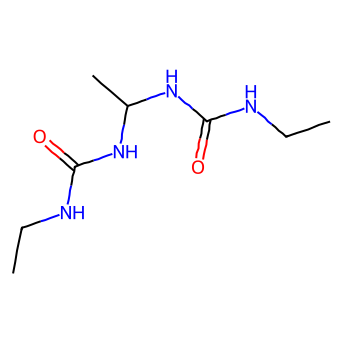 CCNC(=O)NC(C)NC(=O)NCC